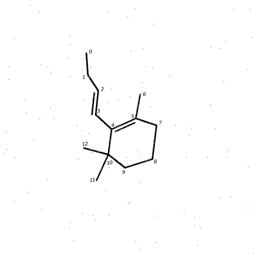 CCC=CC1=C(C)CCCC1(C)C